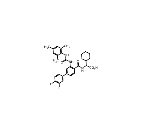 Cc1cc(C)c(NC(=O)Nc2cc(-c3ccc(F)c(F)c3)ccc2C(=O)N[C@H](C(=O)O)C2CCCCC2)c(C)c1